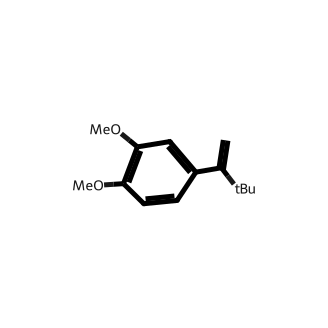 C=C(c1ccc(OC)c(OC)c1)C(C)(C)C